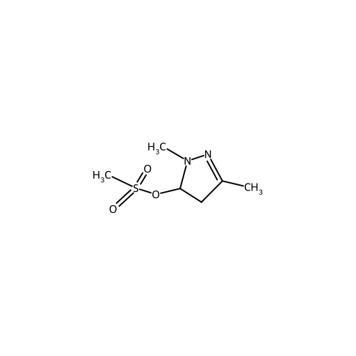 CC1=NN(C)C(OS(C)(=O)=O)C1